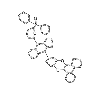 O=P(c1ccccc1)(c1ccccc1)c1cccc(-c2c3ccccc3c(-c3ccc4c(c3)Oc3c(c5ccccc5c5ccccc35)O4)c3ccccc23)c1